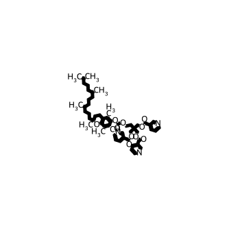 Cc1c(C)c2c(c(C)c1OC(=O)OCCC(COC(=O)c1cccnc1)(COC(=O)c1cccnc1)COC(=O)c1cccnc1)CCC(C)(CCCC(C)CCCC(C)CCCC(C)C)O2